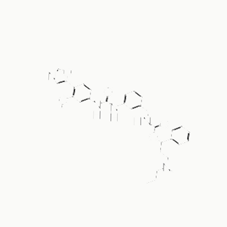 CCCN(C)CCC(OC(=O)NCc1cccc(NC(=O)Nc2ccc(-c3cnco3)c(OC)c2)c1)c1ccccc1